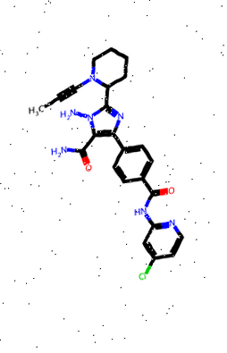 CC#CN1CCCCC1c1nc(-c2ccc(C(=O)Nc3cc(Cl)ccn3)cc2)c(C(N)=O)n1N